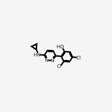 Oc1cc(Cl)cc(Cl)c1-c1ccc(NC2CC2)nn1